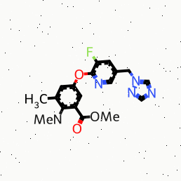 CNc1c(C)cc(Oc2ncc(Cn3cncn3)cc2F)cc1C(=O)OC